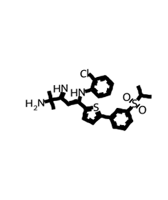 CC(C)S(=O)(=O)c1cccc(-c2ccc(/C(=C/C(=N)C(C)(C)N)Nc3ccccc3Cl)s2)c1